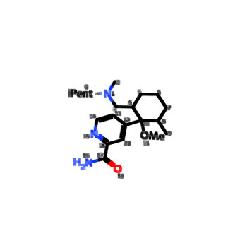 CCC[C@@H](C)N(C)CC1CCCC(C)C1(OC)c1ccnc(C(N)=O)c1